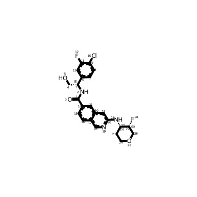 O=C(N[C@H](CO)c1ccc(Cl)c(F)c1)c1ccc2cnc(N[C@H]3CCOC[C@H]3F)cc2c1